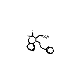 O=C(O)CC1C(=O)NCc2ccccc2N1CCc1ccccc1